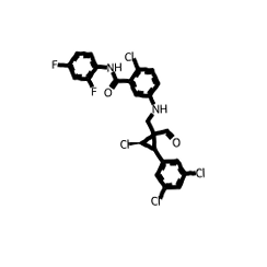 O=CC1(CNc2ccc(Cl)c(C(=O)Nc3ccc(F)cc3F)c2)C(c2cc(Cl)cc(Cl)c2)[C@H]1Cl